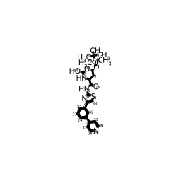 CC(C)(C)[Si](C)(C)OCCC(NC(=O)O)C(=O)Nc1nc(-c2cccc(-c3ccncc3)c2)cs1